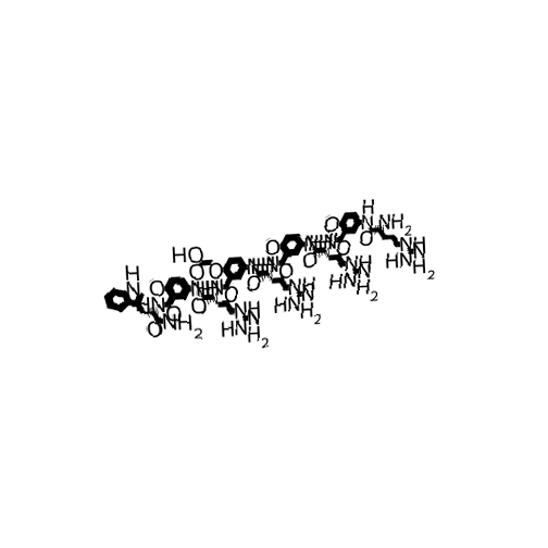 COc1ccc(NC(=O)[C@@H](CCCNC(=N)N)NC(=O)c2cc(NC(=O)[C@@H](CCCNC(=N)N)NC(=O)c3cc(NC(=O)[C@@H](CCCNC(=N)N)NC(=O)c4cc(NC(=O)[C@H](N)CCCNC(=N)N)ccc4OC)ccc3OC)ccc2OCC(=O)O)cc1C(=O)N[C@H](Cc1c[nH]c2ccccc12)C(N)=O